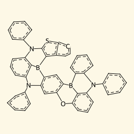 c1ccc(N2c3ccccc3B3c4cc5c(cc4Oc4cccc2c43)N(c2ccccc2)c2cccc3c2B5c2c(sc4ccccc24)N3c2ccccc2)cc1